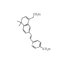 CCOC(=O)CC1=CCC(C)(C)c2ccc(C=Cc3ccc(C(=O)O)cc3)cc21